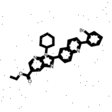 CCOC(=O)c1cnc2c(c1)nc(-c1ccc3nc(-c4ccccc4Br)ccc3c1)n2C1CCCCC1